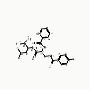 Cc1ccc(C(=O)NC[C@H](NC(=O)c2ccccn2)C(=O)NC(CC(C)C)B(O)O)cc1